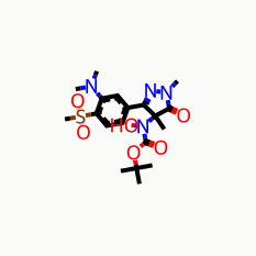 CN1N=C(c2ccc(S(C)(=O)=O)c(N(C)C)c2)C(C)(N(O)C(=O)OC(C)(C)C)C1=O